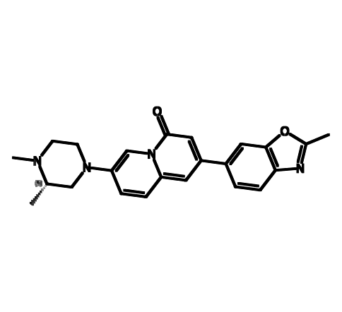 Cc1nc2ccc(-c3cc(=O)n4cc(N5CCN(C)[C@@H](C)C5)ccc4c3)cc2o1